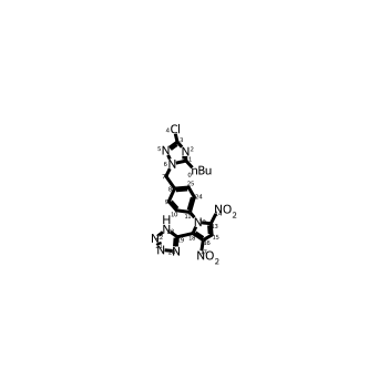 CCCCc1nc(Cl)nn1Cc1ccc(-n2c([N+](=O)[O-])cc([N+](=O)[O-])c2-c2nnn[nH]2)cc1